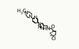 CN1CCN(c2ccc(-n3cc(CNC(=O)C4=CCC(Cl)S4)nn3)cn2)CC1